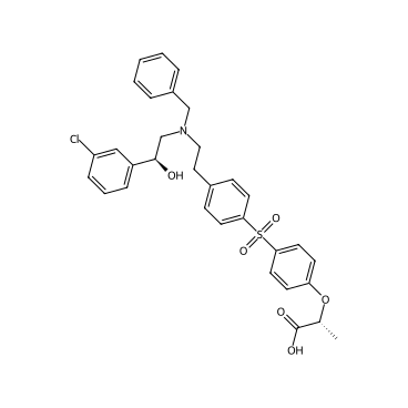 C[C@@H](Oc1ccc(S(=O)(=O)c2ccc(CCN(Cc3ccccc3)C[C@@H](O)c3cccc(Cl)c3)cc2)cc1)C(=O)O